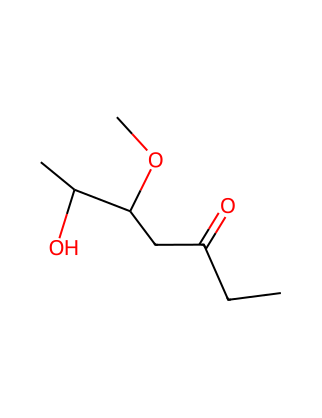 CCC(=O)CC(OC)C(C)O